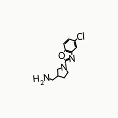 NCC1CCN(c2nc3cc(Cl)ccc3o2)C1